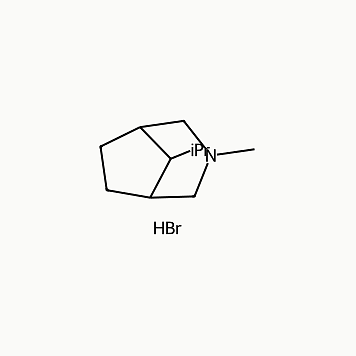 Br.CC(C)C1C2CCC1CN(C)C2